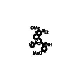 CCOc1cc2c(cc1OC)CCN(C(=O)n1ccnc1)C2CCc1c[nH]c2ccc(OC)cc12